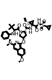 C=C[C@@H]1C[C@]1(NC(=O)[C@@H]1C[C@@H](Oc2nc(N(C)C)cc3cc(OC)ccc23)CN1C(=O)[C@@H](Nc1ccccc1)C(C)(C)C)C(=O)NS(=O)(=O)C1CC1